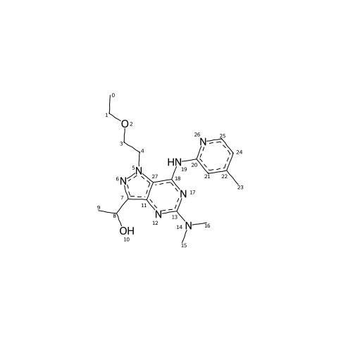 CCOCCn1nc(C(C)O)c2nc(N(C)C)nc(Nc3cc(C)ccn3)c21